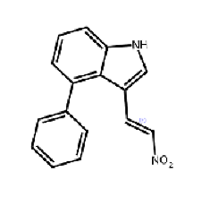 O=[N+]([O-])/C=C/c1c[nH]c2cccc(-c3ccccc3)c12